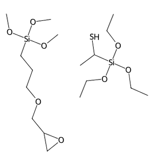 CCO[Si](OCC)(OCC)C(C)S.CO[Si](CCCOCC1CO1)(OC)OC